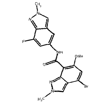 COc1cc(Br)c2cn(C)nc2c1C(=O)Nc1cc(F)c2nn(C)cc2c1